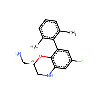 Cc1cccc(C)c1-c1cc(F)cc2c1O[C@@H](CN)CN2